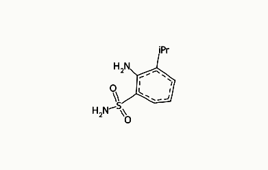 CC(C)c1cccc(S(N)(=O)=O)c1N